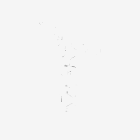 COCCNCc1cc(CC(=O)O)cc(S(=O)(=O)N2CCN(c3ccc(C(F)(F)F)cc3)CC2)c1